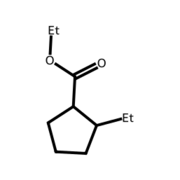 CCOC(=O)C1CCCC1CC